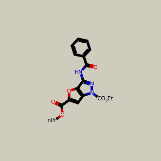 CCCOC(=O)c1cc2c(o1)c(NC(=O)c1ccccc1)nn2C(=O)OCC